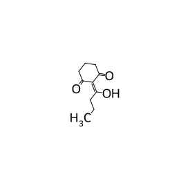 CCCC(O)=C1C(=O)CCCC1=O